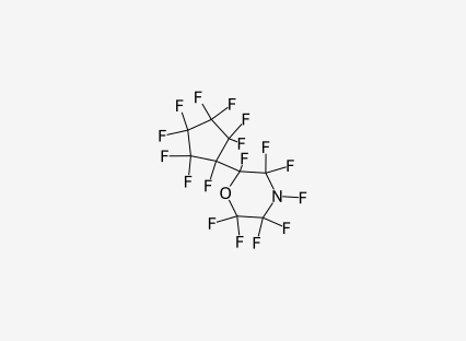 FN1C(F)(F)C(F)(F)OC(F)(C2(F)C(F)(F)C(F)(F)C(F)(F)C2(F)F)C1(F)F